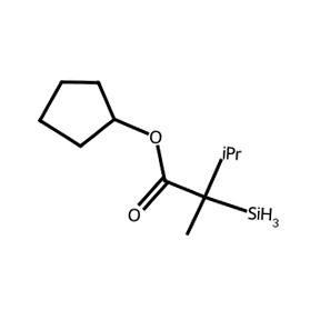 CC(C)C(C)([SiH3])C(=O)OC1CCCC1